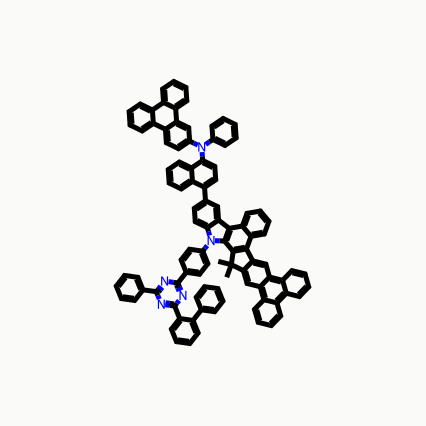 CC1(C)c2cc3c4ccccc4c4ccccc4c3cc2-c2c1c1c(c3ccccc23)c2cc(-c3ccc(N(c4ccccc4)c4ccc5c6ccccc6c6ccccc6c5c4)c4ccccc34)ccc2n1-c1ccc(-c2nc(-c3ccccc3)nc(-c3ccccc3-c3ccccc3)n2)cc1